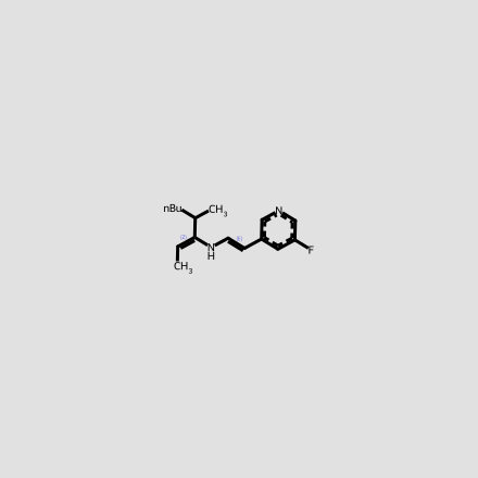 C/C=C(\N/C=C/c1cncc(F)c1)C(C)CCCC